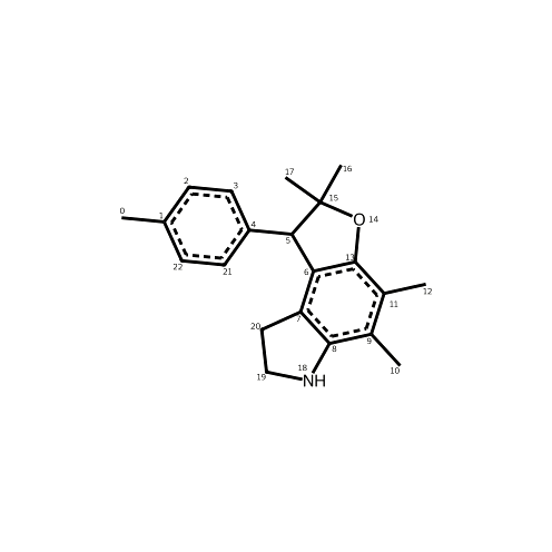 Cc1ccc(C2c3c4c(c(C)c(C)c3OC2(C)C)NCC4)cc1